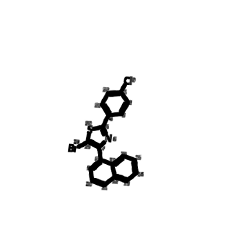 Clc1ccc(-c2nc(-c3cccc4ccccc34)c(Br)s2)cc1